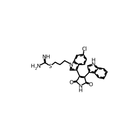 N=C(N)SCCCn1cc(C2=C(c3c[nH]c4ccccc34)C(=O)NC2=O)c2ccc(Cl)cc21